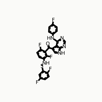 O=C(c1c(F)ccc(NSc2cc(F)ccc2F)c1F)c1c[nH]c2ncnc(Nc3ccc(F)cc3)c12